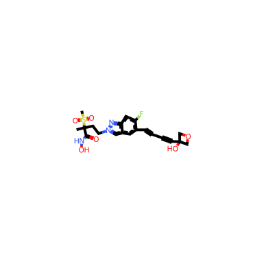 CC(CCn1cc2cc(C#CC#CC3(O)COC3)c(F)cc2n1)(C(=O)NO)S(C)(=O)=O